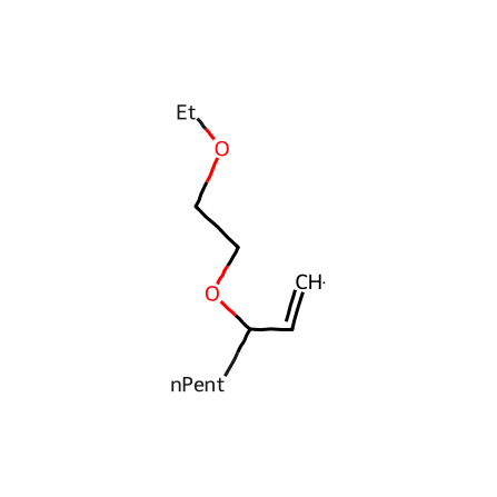 [CH]=CC(CCCCC)OCCOCC